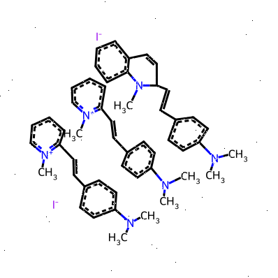 CN(C)c1ccc(C=CC2C=Cc3ccccc3N2C)cc1.CN(C)c1ccc(C=Cc2cccc[n+]2C)cc1.CN(C)c1ccc(C=Cc2cccc[n+]2C)cc1.[I-].[I-]